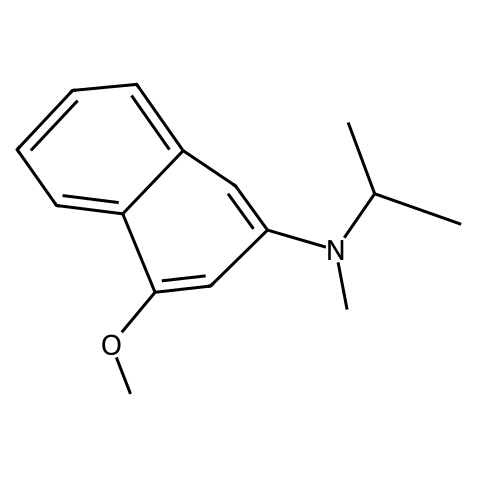 COc1cc(N(C)C(C)C)cc2ccccc12